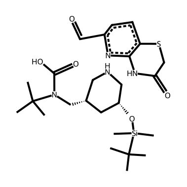 CC(C)(C)N(C[C@@H]1CNC[C@H](O[Si](C)(C)C(C)(C)C)C1)C(=O)O.O=Cc1ccc2c(n1)NC(=O)CS2